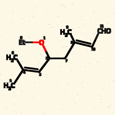 CCOC(C=C(C)C)C/C(C)=C/C=O